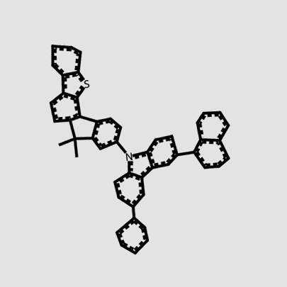 CC1(C)c2cc(-n3c4ccc(-c5ccccc5)cc4c4cc(-c5cccc6ccccc56)ccc43)ccc2-c2c1ccc1c2sc2ccccc21